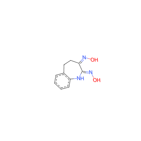 ON=C1CCc2ccccc2NC1=NO